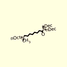 CCCCCCCCCCN(CCCCCCCCCC)C(=O)CCCCCCCN(C)CCCCCCCC